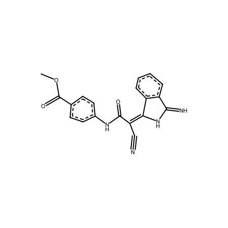 COC(=O)c1ccc(NC(=O)C(C#N)=C2NC(=N)c3ccccc32)cc1